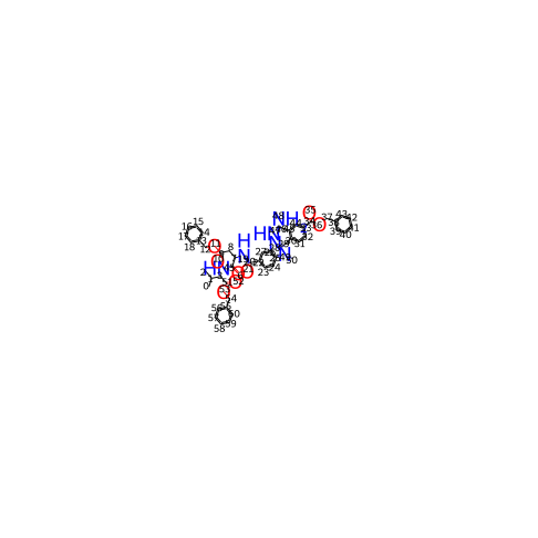 CC(C)C(NC(=O)C(CC(=O)OCc1ccccc1)NC(=O)c1ccc2c(c1)nc(-c1ccc(C(=O)OCc3ccccc3)cc1C(=N)N)n2C)C(=O)OCc1ccccc1